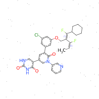 C/C=C(F)\C(COc1cc(Cl)cc(-c2cc(-c3c[nH]c(=O)[nH]c3=O)cn(-c3cccnc3)c2=O)c1)=C(\F)C1CCCCC1